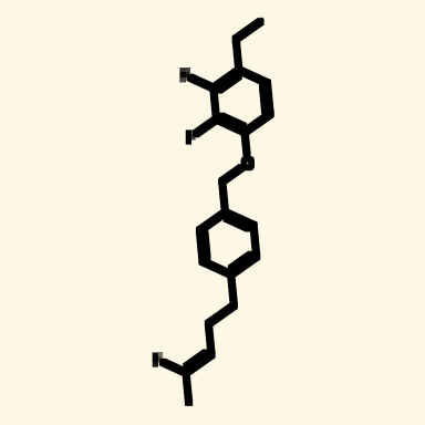 CCc1ccc(OCc2ccc(CCC=C(C)F)cc2)c(F)c1F